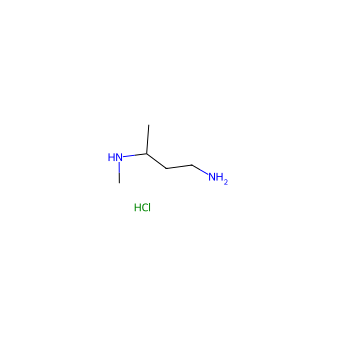 CNC(C)CCN.Cl